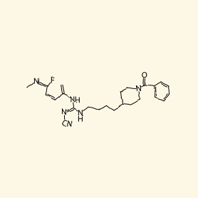 C=C(/C=C\C(F)=N/C)N/C(=N/C#N)NCCCCC1CCN(C(=O)c2ccccc2)CC1